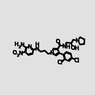 Nc1nc(NCCCn2cc(C(=O)NCC(O)CN3CCCC3)c(-c3ccc(Cl)cc3Cl)c2)ccc1[N+](=O)[O-]